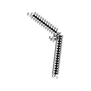 FC(F)(F)O[Si](OC(F)(F)F)(OC(F)(F)C(F)(F)C(F)(F)C(F)(F)C(F)(F)C(F)(F)C(F)(F)C(F)(F)C(F)(F)C(F)(F)C(F)(F)C(F)(F)C(F)(F)F)C(F)(F)C(F)(F)C(F)(F)C(F)(F)C(F)(F)C(F)(F)C(F)(F)C(F)(F)C(F)(F)C(F)(F)C(F)(F)C(F)(F)C(F)(F)C(F)(F)C(F)(F)C(F)(F)C(F)(F)F